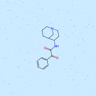 O=C(NC1CCN2CCCC1C2)C(=O)c1ccccc1